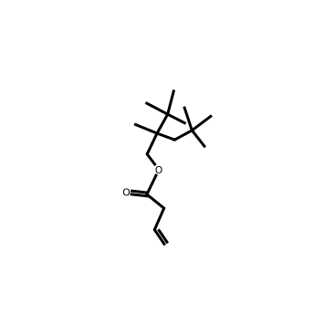 C=CCC(=O)OCC(C)(CC(C)(C)C)C(C)(C)C